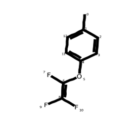 Cc1ccc(OC(F)=C(F)F)cc1